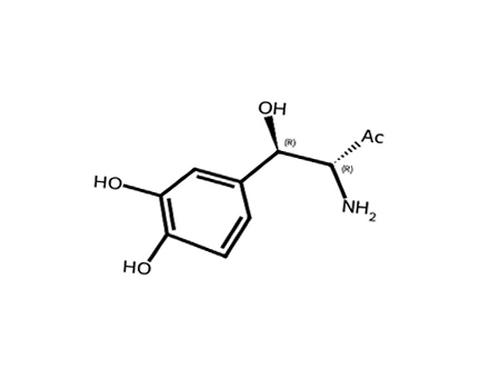 CC(=O)[C@H](N)[C@H](O)c1ccc(O)c(O)c1